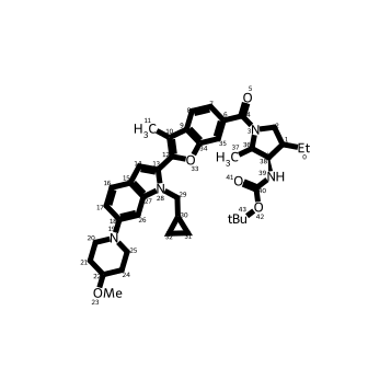 CCC1CN(C(=O)c2ccc3c(C)c(-c4cc5ccc(N6CCC(OC)CC6)cc5n4CC4CC4)oc3c2)C(C)[C@@H]1NC(=O)OC(C)(C)C